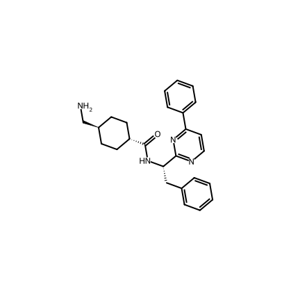 NC[C@H]1CC[C@H](C(=O)N[C@@H](Cc2ccccc2)c2nccc(-c3ccccc3)n2)CC1